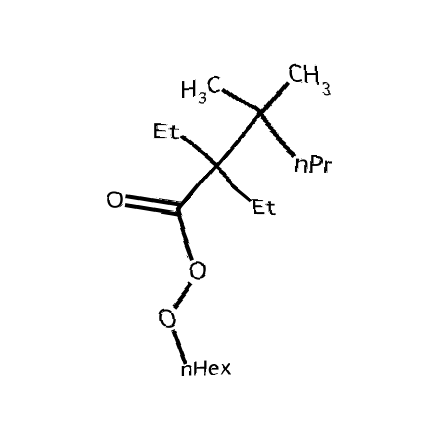 CCCCCCOOC(=O)C(CC)(CC)C(C)(C)CCC